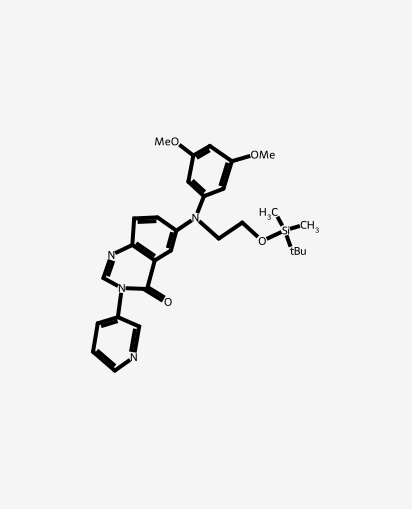 COc1cc(OC)cc(N(CCO[Si](C)(C)C(C)(C)C)c2ccc3ncn(-c4cccnc4)c(=O)c3c2)c1